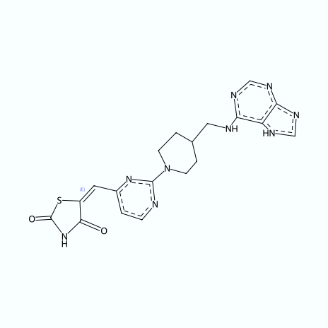 O=C1NC(=O)/C(=C\c2ccnc(N3CCC(CNc4ncnc5nc[nH]c45)CC3)n2)S1